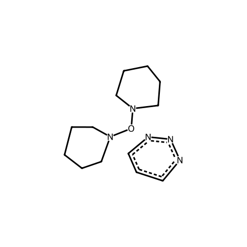 C1CCN(ON2CCCCC2)CC1.c1cnnnc1